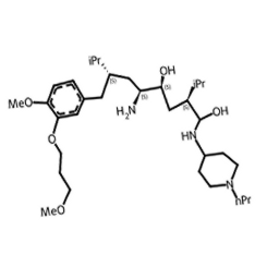 CCCN1CCC(NC(O)[C@@H](C[C@H](O)[C@@H](N)C[C@H](Cc2ccc(OC)c(OCCCOC)c2)C(C)C)C(C)C)CC1